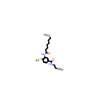 CCCCCCCCCCCCCCCCC(=O)Nc1cc(C(=O)NCCSC)ccc1SCC